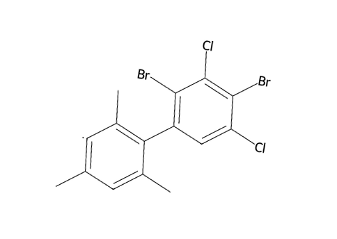 Cc1[c]c(C)c(-c2cc(Cl)c(Br)c(Cl)c2Br)c(C)c1